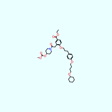 CCOC(=O)c1ccc(OCCCc2ccc(OCCCCOC3CCCCC3)cc2)c(CC(=O)N2CCC(OC(=O)OC)CC2)c1